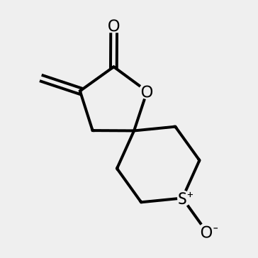 C=C1CC2(CC[S+]([O-])CC2)OC1=O